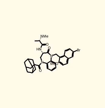 CN[C@@H](C)C(=O)N[C@H]1CN(C(=O)C23CC4CC(CC(C4)C2)C3)c2ccccc2N(Cc2c(OC)ccc3cc(Br)ccc23)C1=O